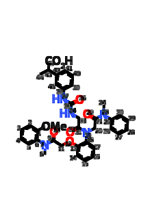 COc1ccccc1N(C)C(=O)COc1ccccc1N(CC(=O)N(C)c1ccccc1)C(=O)CNC(=O)Nc1cccc(C(C)C(=O)O)c1